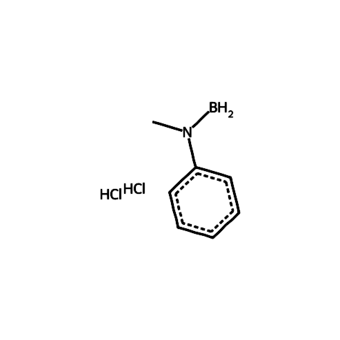 BN(C)c1ccccc1.Cl.Cl